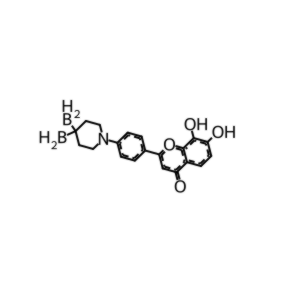 BC1(B)CCN(c2ccc(-c3cc(=O)c4ccc(O)c(O)c4o3)cc2)CC1